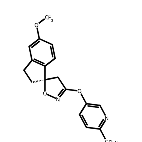 O=C(O)c1ccc(OC2=NO[C@]3(CCc4cc(OC(F)(F)F)ccc43)C2)cn1